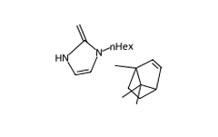 C=C1NC=CN1CCCCCC.CC12C=CC(CC1)C2(C)C